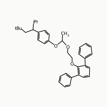 CC(OCCOc1c(-c2ccccc2)cccc1-c1ccccc1)Oc1ccc(C(CC(C)(C)C)C(C)C)cc1